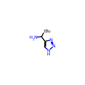 CC(C)(C)C(N)c1c[nH]nn1